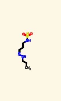 CCCN/N=C\C=C\N[SH](=O)=O